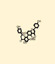 COc1cc(O)c2c(c1-c1c(OC)cc3oc(-c4ccc(O)cc4)cc(=O)c3c1O)OC(c1ccc(O)cc1)CC2=O